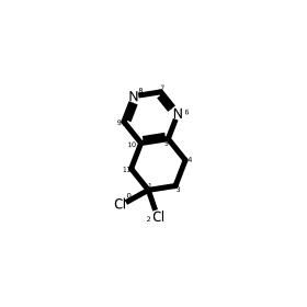 ClC1(Cl)CCc2ncn[c]c2C1